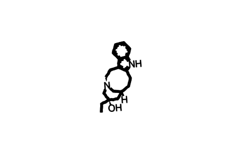 CC[C@]1(O)C[C@H]2CCc3[nH]c4ccccc4c3CC[N@](C2)C1